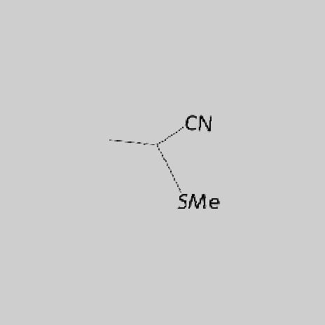 CSC(C)C#N